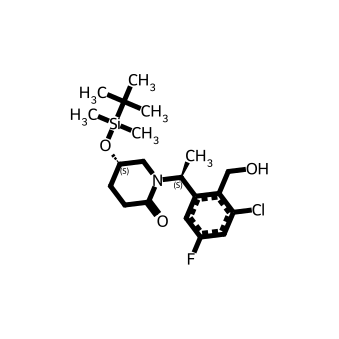 C[C@@H](c1cc(F)cc(Cl)c1CO)N1C[C@@H](O[Si](C)(C)C(C)(C)C)CCC1=O